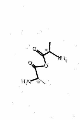 C[C@H](N)C(=O)OC(=O)[C@@H](C)N